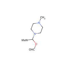 CNC(OC=O)N1CCN(C)CC1